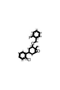 CC12OC1CC(c1ccccc1Cl)CC2OCc1ccccc1F